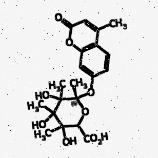 Cc1cc(=O)oc2cc(O[C@]3(C)OC(C(=O)O)C(C)(O)C(C)(O)C3(C)O)ccc12